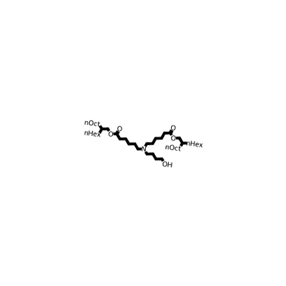 CCCCCCCCC(CCCCCC)COC(=O)CCCCCN(CCCCO)CCCCCC(=O)OCC(CCCCCC)CCCCCCCC